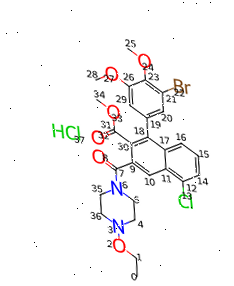 CCON1CCN(C(=O)c2cc3c(Cl)cccc3c(-c3cc(Br)c(OC)c(OC)c3)c2C(=O)OC)CC1.Cl